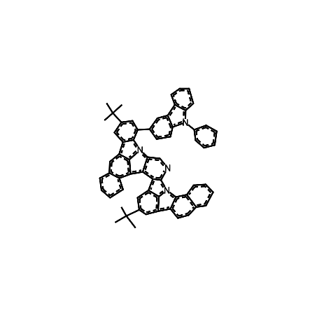 CC(C)(C)c1cc(-c2ccc3c(c2)c2ccccc2n3-c2ccccc2)c2c(c1)c1cc3ccccc3c3c4c5c6cc(C(C)(C)C)cc7c8ccc9ccccc9c8n(c5ncc4n2c13)c76